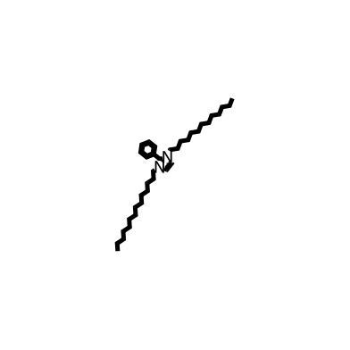 CCCCCCCCCCCCCC[n+]1ccn(CCCCCCCCCCCCC)c1-c1ccccc1